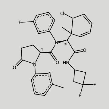 Cc1cccc(N2C(=O)CC[C@H]2C(=O)N(c2cccc(F)c2)[C@H](C(=O)NC2CC(F)(F)C2)C2(C)C=CC=CC2Cl)n1